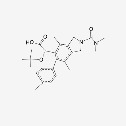 Cc1ccc(-c2c(C)c3c(c(C)c2[C@H](OC(C)(C)C)C(=O)O)CN(C(=O)N(C)C)C3)cc1